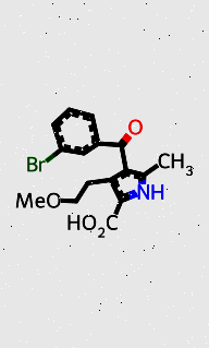 COCCc1c(C(=O)O)[nH]c(C)c1C(=O)c1cccc(Br)c1